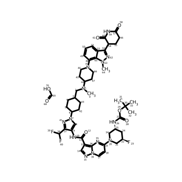 CN(CC1CCC(n2cc(NC(=O)c3cnn4ccc(N5C[C@H](F)C[C@@H](NC(=O)OC(C)(C)C)C5)nc34)c(C(F)F)n2)CC1)C1CCN(c2cccc3c(C4CCC(=O)NC4=O)nn(C)c23)CC1.O=CO